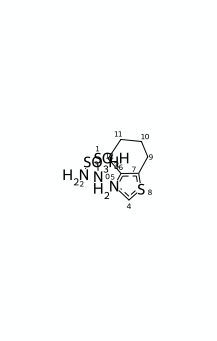 NS(=O)(=O)O.NS(=O)(=O)O.c1nc2c(s1)CCCC2